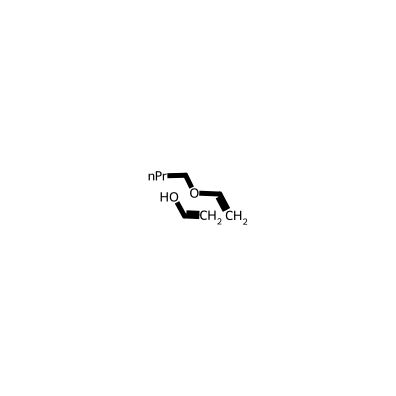 C=CO.C=COCCCC